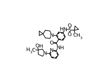 CC1(O)CCN(c2cccc(NC(=O)c3ccc(NS(=O)(=O)C4(C)CC4)cc3N3CCC4(CC3)CC4)n2)C1